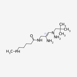 CPCCCCC(=O)NC/C(N)=C/N(N)CC(C)(C)C